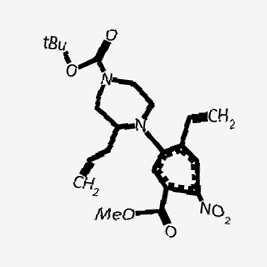 C=CCC1CN(C(=O)OC(C)(C)C)CCN1c1cc(C(=O)OC)c([N+](=O)[O-])cc1C=C